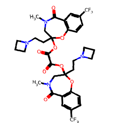 CN1CC(CCN2CCC2)(OC(=O)C(=O)OC2(CCN3CCC3)CN(C)C(=O)c3cc(C(F)(F)F)ccc3O2)Oc2ccc(C(F)(F)F)cc2C1=O